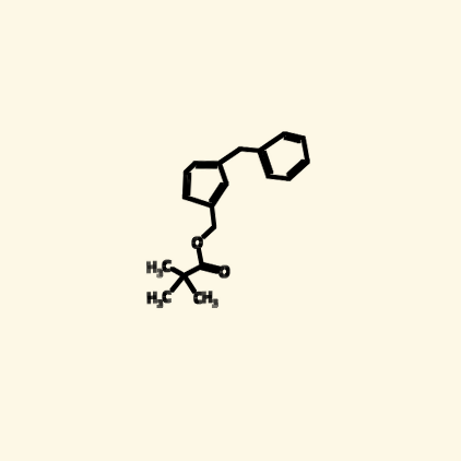 CC(C)(C)C(=O)OCc1cccc(Cc2ccccc2)c1